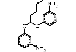 CCCCC(Oc1cccc(N)c1)Oc1cccc(N)c1